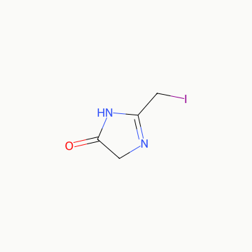 O=C1CN=C(CI)N1